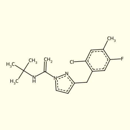 C=C(NC(C)(C)C)n1ccc(Cc2cc(F)c(C)cc2Cl)n1